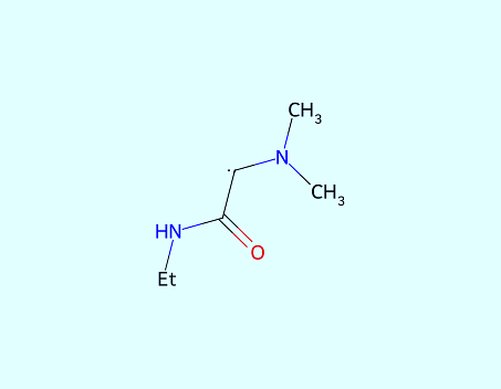 CCNC(=O)[CH]N(C)C